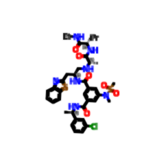 CCNC(=O)[C@@H](NC(=O)[C@H](C)NC[C@H](Cc1nc2ccccc2s1)NC(=O)c1cc(C(=O)N[C@H](C)c2cccc(Cl)c2)cc(N(C)S(C)(=O)=O)c1)C(C)C